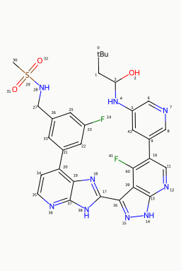 CC(C)(C)CC(O)Nc1cncc(-c2cnc3[nH]nc(-c4nc5c(-c6cc(F)cc(CNS(C)(=O)=O)c6)ccnc5[nH]4)c3c2F)c1